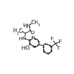 CNC(=O)C(C)Nc1ncc(-c2cccc(C(F)(F)F)c2)cc1O